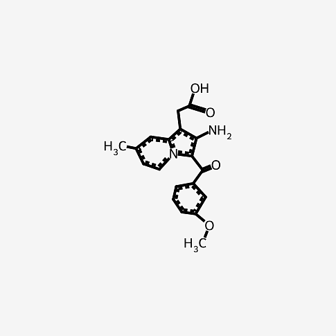 COc1cccc(C(=O)c2c(N)c(CC(=O)O)c3cc(C)ccn23)c1